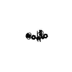 CC(C)(C)OC(=O)N1C(c2ncc(-c3ccc(B4OC(C)(C)C(C)(C)O4)cc3)[nH]2)CC2CCCCC21